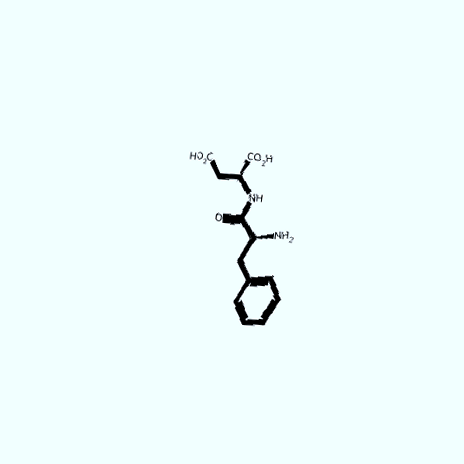 N[C@@H](Cc1ccccc1)C(=O)N[C@@H](CC(=O)O)C(=O)O